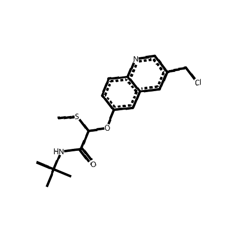 CSC(Oc1ccc2ncc(CCl)cc2c1)C(=O)NC(C)(C)C